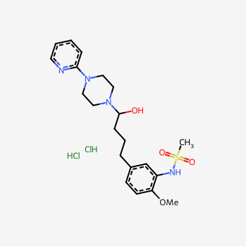 COc1ccc(CCCC(O)N2CCN(c3ccccn3)CC2)cc1NS(C)(=O)=O.Cl.Cl